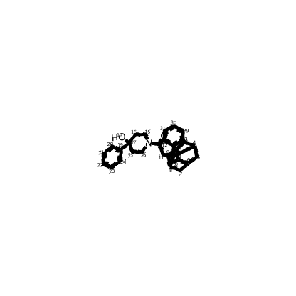 CC1C2CC3CC1CC(C2)C3(CC(=O)N1CCC(O)(c2ccccc2)CC1)c1ccccc1